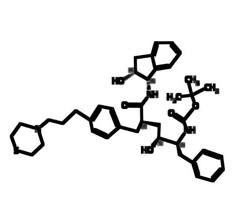 CC(C)(C)OC(=O)N[C@@H](Cc1ccccc1)[C@@H](O)C[C@@H](Cc1ccc(CCCN2CCSCC2)cc1)C(=O)N[C@H]1c2ccccc2C[C@H]1O